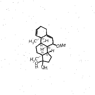 COC1C=C2CCC=C[C@]2(C)[C@@H]2CC[C@@]3(C)[C@@H](CCC3(O)O)[C@H]12